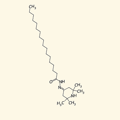 CCCCCCCCCCCCCCCCCC(=O)NN=C1CC(C)(C)NC(C)(C)C1